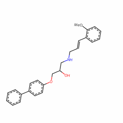 COc1ccccc1C=CCNCC(O)COc1ccc(-c2ccccc2)cc1